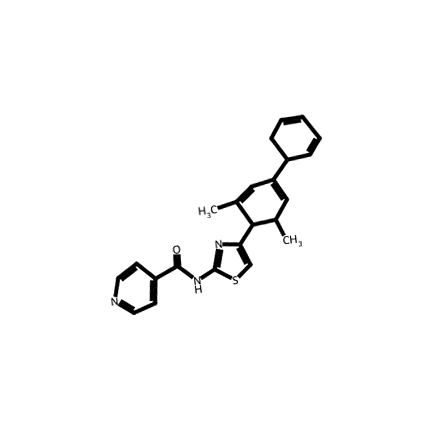 CC1=CC(C2C=CC=CC2)=CC(C)C1c1csc(NC(=O)c2ccncc2)n1